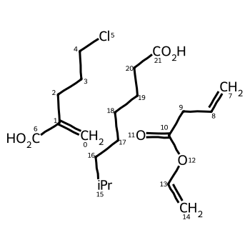 C=C(CCCCl)C(=O)O.C=CCC(=O)OC=C.CC(C)CCCCCC(=O)O